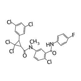 CN(C(=O)C1C(c2cc(Cl)cc(Cl)c2)C1(Cl)Cl)c1ccc(Cl)c(C(=O)Nc2ccc(F)cc2)c1